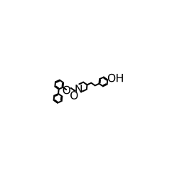 O=C(COc1ccccc1-c1ccccc1)N1CCC(CCc2ccc(O)cc2)CC1